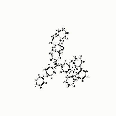 c1ccc(-c2ccc(N(c3ccc4c(c3)-c3ccccc3C4(c3ccccc3)c3ccccc3)c3ccc4c(n3)oc3c5ccccc5ccc43)cc2)cc1